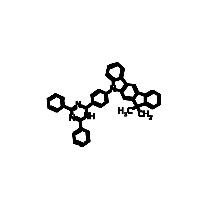 CC1(C)c2ccccc2-c2cc3c4ccccc4n(-c4ccc(C5N=C(c6ccccc6)N=C(c6ccccc6)N5)cc4)c3cc21